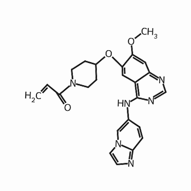 C=CC(=O)N1CCC(Oc2cc3c(Nc4ccc5nccn5c4)ncnc3cc2OC)CC1